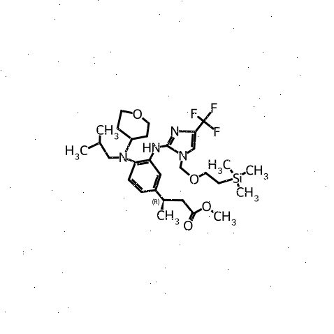 COC(=O)C[C@@H](C)c1ccc(N(CC(C)C)C2CCOCC2)c(Nc2nc(C(F)(F)F)cn2COCC[Si](C)(C)C)c1